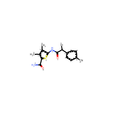 CCC(C(=O)Nc1sc(C(N)=O)c(C)c1C)c1ccc(C#N)cc1